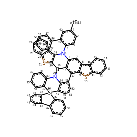 CC(C)(C)c1ccc(N2c3cc4c(sc5ccccc54)c4c3B(c3sc5ccccc5c32)N2c3ccccc3[Si]3(c5ccccc5-c5ccccc53)c3cccc-4c32)c(-c2ccccc2)c1